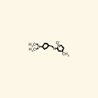 CCN(CC)c1ccc(C=Nc2cc(C)cc[n+]2[O-])cc1